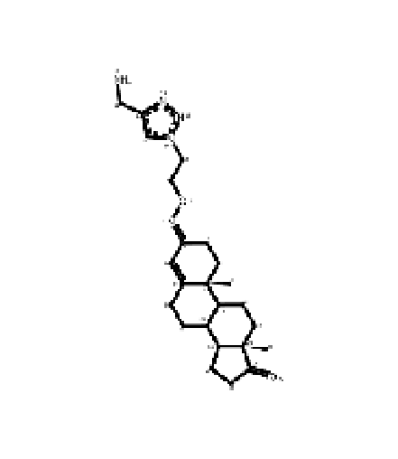 C[C@]12CCC(=NOCCn3cc(CN)nn3)C=C1CCC1C2CC[C@]2(C)C(=O)CCC12